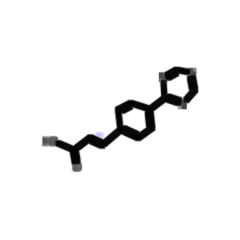 O=C(O)/C=C/c1ccc(-c2ncncn2)cc1